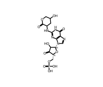 O=C1OCC(O)CC1Nc1nc2c(ncn2[C@@H]2O[C@H](COP(=O)(O)O)C(=O)C2O)c(=O)[nH]1